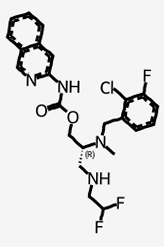 CN(Cc1cccc(F)c1Cl)[C@H](CNCC(F)F)COC(=O)Nc1cc2ccccc2cn1